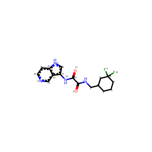 O=C(NCC1CCCC(F)(F)C1)C(=O)Nc1c[nH]c2ccncc12